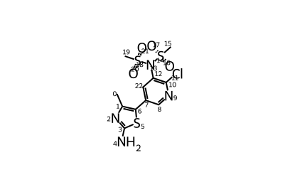 Cc1nc(N)sc1-c1cnc(Cl)c(N(S(C)(=O)=O)S(C)(=O)=O)c1